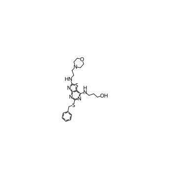 OCCCNc1nc(SCc2ccccc2)nc2nc(NCCN3CCOCC3)sc12